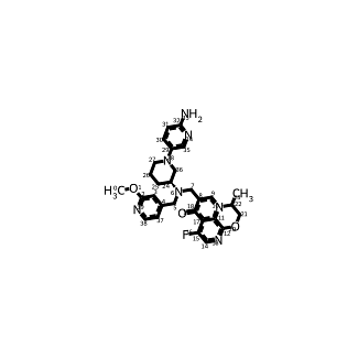 COc1cc(CN(Cc2cn3c4c(ncc(F)c4c2=O)OCC3C)[C@H]2CCCN(c3ccc(N)nc3)C2)ccn1